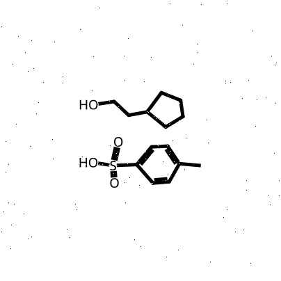 Cc1ccc(S(=O)(=O)O)cc1.OCCC1CCCC1